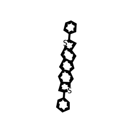 c1ccc(-c2cc3cc4cc5cc6sc(-c7ccccc7)cc6cc5cc4cc3s2)cc1